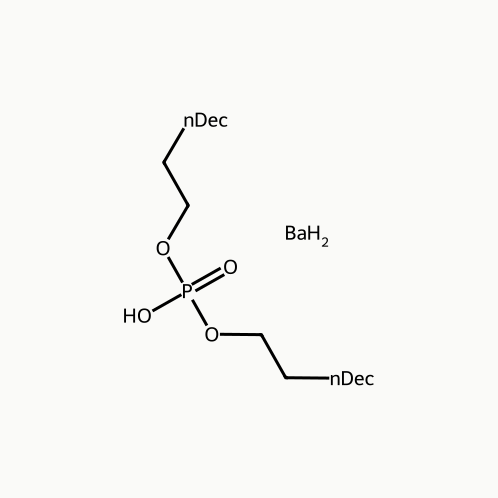 CCCCCCCCCCCCOP(=O)(O)OCCCCCCCCCCCC.[BaH2]